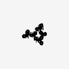 c1ccc(-n2c3ccc(-n4c5ccccc5c5cc(-n6c7ccccc7n7c8ccccc8nc67)ccc54)cc3n3c4cc(-n5c6ccccc6c6cc(-n7c8ccccc8n8c9ccccc9nc78)ccc65)ccc4nc23)cc1